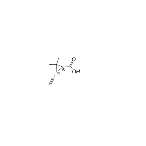 C#C[C@H]1[C@@H](C(=O)O)C1(C)C